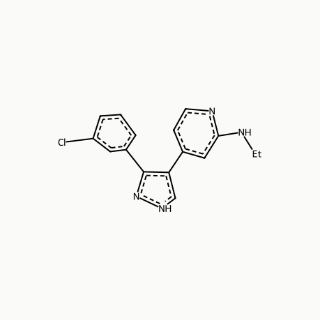 CCNc1cc(-c2c[nH]nc2-c2cccc(Cl)c2)ccn1